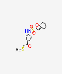 CC(=O)SCC(=O)c1ccc(NS(=O)(=O)c2cc3ccccc3o2)cc1